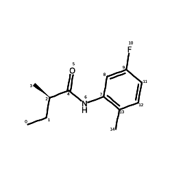 CC[C@@H](C)C(=O)Nc1cc(F)ccc1C